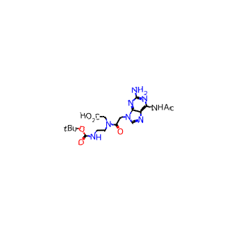 CC(=O)Nc1nc(N)nc2c1ncn2CC(=O)N(CCNC(=O)OC(C)(C)C)CC(=O)O